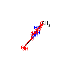 CC(=O)COCCOCCNC(=O)COCCOCCNC(=O)CC(NC(=O)C1CCN(C(=O)CCCCCCCCCCCCCCCCCCC(=O)O)CC1)C(=O)O